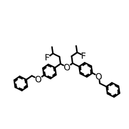 CC(F)CC(OC(CC(C)F)c1ccc(OCc2ccccc2)cc1)c1ccc(OCc2ccccc2)cc1